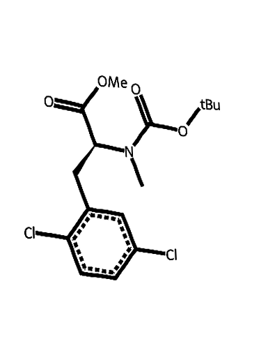 COC(=O)[C@H](Cc1cc(Cl)ccc1Cl)N(C)C(=O)OC(C)(C)C